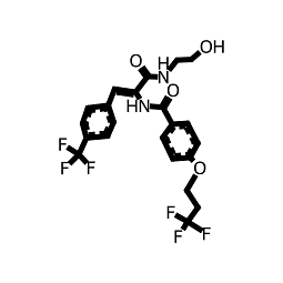 O=C(NCCO)C(=Cc1ccc(C(F)(F)F)cc1)NC(=O)c1ccc(OCCC(F)(F)F)cc1